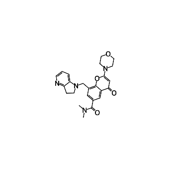 CN(C)C(=O)c1cc(CN2CCc3ncccc32)c2oc(N3CCOCC3)cc(=O)c2c1